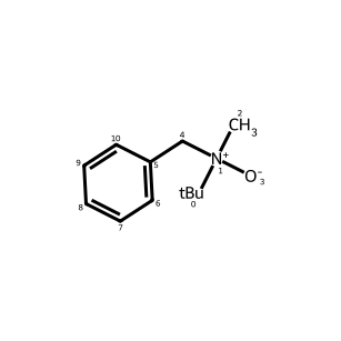 CC(C)(C)[N+](C)([O-])Cc1ccccc1